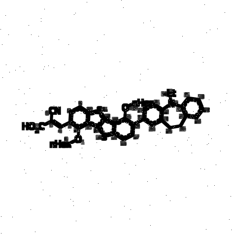 CCCCCCOc1c(/C=C(\C#N)C(=O)O)ccc2sc3c(sc4ccc(-c5ccc6c(c5)CCc5ccccc5N6CC)c(OCCCCCC)c43)c12